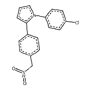 O=[SH](=O)Cc1ccc(-c2cccn2-c2ccc(Cl)cc2)cc1